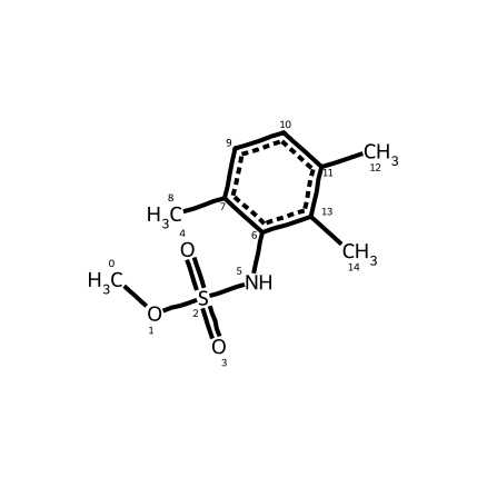 COS(=O)(=O)Nc1c(C)ccc(C)c1C